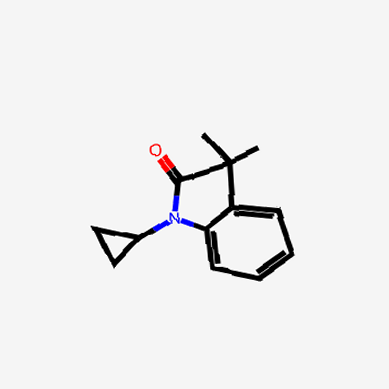 CC1(C)C(=O)N(C2CC2)c2ccccc21